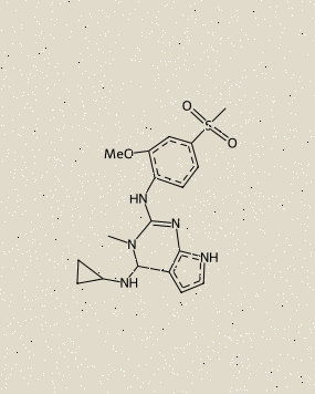 COc1cc(S(C)(=O)=O)ccc1NC1=Nc2[nH]ccc2C(NC2CC2)N1C